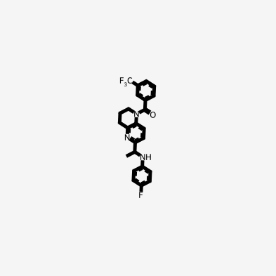 CC(Nc1ccc(F)cc1)c1ccc2c(n1)CCCN2C(=O)c1cccc(C(F)(F)F)c1